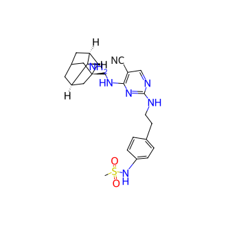 CS(=O)(=O)Nc1ccc(CCNc2ncc(C#N)c(NC[C@]34CC5C[C@H](C3)[C@@H](N)[C@@H](C5)C4)n2)cc1